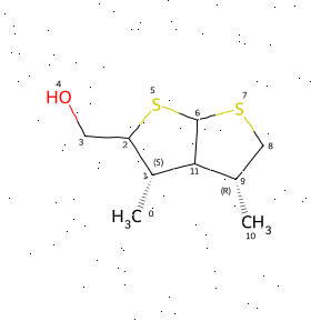 C[C@@H]1C(CO)SC2SC[C@H](C)C21